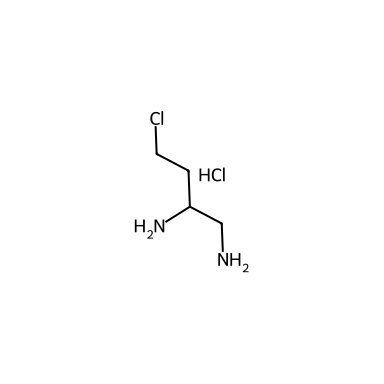 Cl.NCC(N)CCCl